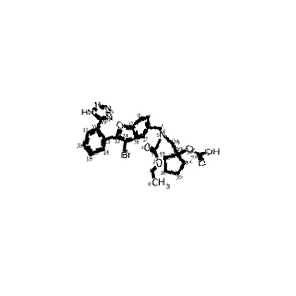 CCOC(=O)N(Cc1ccc2oc(-c3ccccc3-c3nnn[nH]3)c(Br)c2c1)CC1(OC(=O)O)CCCC1